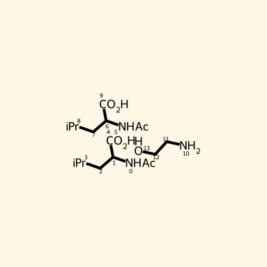 CC(=O)NC(CC(C)C)C(=O)O.CC(=O)NC(CC(C)C)C(=O)O.NCCO